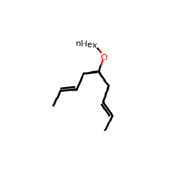 CC=CCC(CC=CC)OCCCCCC